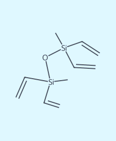 C=C[Si](C)(C=C)O[Si](C)(C=C)C=C